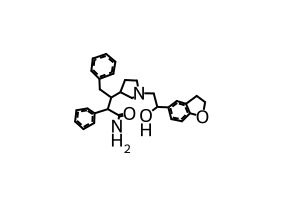 NC(=O)C(c1ccccc1)C(Cc1ccccc1)C1CCN(CC(O)c2ccc3c(c2)CCO3)C1